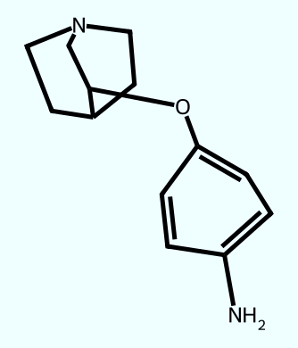 Nc1ccc(OC2CN3CCC2CC3)cc1